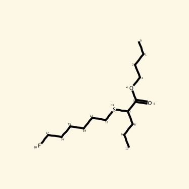 CCCCOC(=O)C(CCC)SCCCCCCF